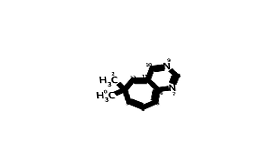 CC1(C)C=CC=c2ncncc2=C1